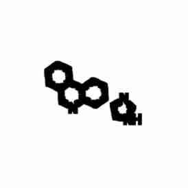 c1c[nH]cn1.c1ccc2c(c1)cnc1ccccc12